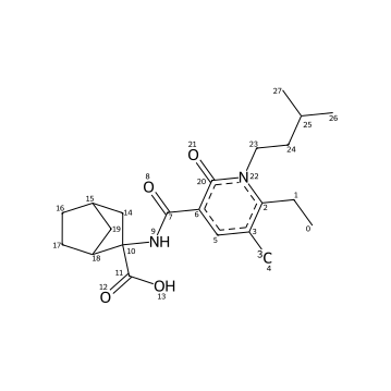 CCc1c([3CH3])cc(C(=O)NC2(C(=O)O)CC3CCC2C3)c(=O)n1CCC(C)C